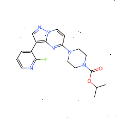 CC(C)OC(=O)N1CCN(c2ccn3ncc(-c4cccnc4F)c3n2)CC1